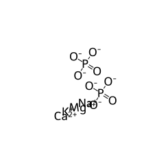 O=P([O-])([O-])[O-].O=P([O-])([O-])[O-].[Ca+2].[K+].[Mg+2].[Na+]